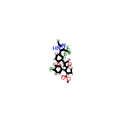 COC(=O)[C@H]1CC[C@@]2(C=C(c3cc(-c4[nH]c(C)nc4C(F)(F)F)ccc3OC)CO2)[C@@H]1c1ccc(F)cc1